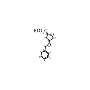 CCOC(=O)C1CC(OCc2ccccc2)CO1